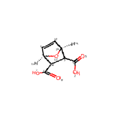 O=C(O)C1C(C(=O)O)[C@H]2C=C[C@@H]1O2